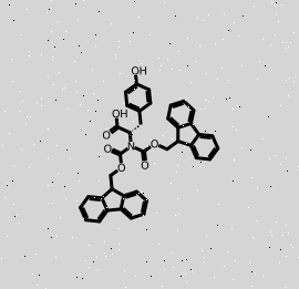 O=C(O)[C@H](Cc1ccc(O)cc1)N(C(=O)OCC1c2ccccc2-c2ccccc21)C(=O)OCC1c2ccccc2-c2ccccc21